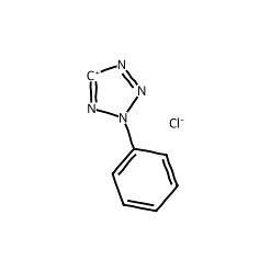 [C+]1=NN(c2ccccc2)N=N1.[Cl-]